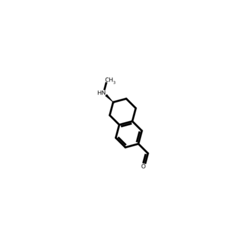 CN[C@H]1CCc2cc(C=O)ccc2C1